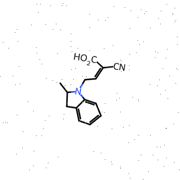 CC1Cc2ccccc2N1CC=C(C#N)C(=O)O